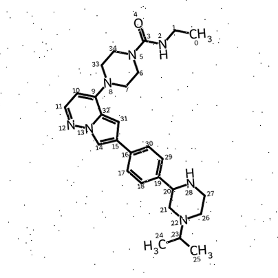 CCNC(=O)N1CCN(c2ccnn3cc(-c4ccc(C5CN(C(C)C)CCN5)cc4)cc23)CC1